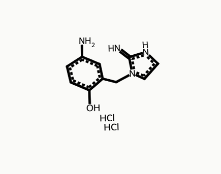 Cl.Cl.N=c1[nH]ccn1Cc1cc(N)ccc1O